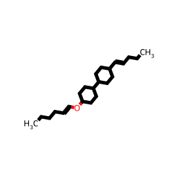 CCCC=CC1CCC(C2CCC(OC=CCCCC)CC2)CC1